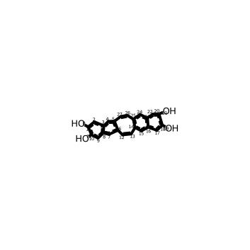 Oc1cc2cc3c(cc2cc1O)/C=C\c1cc2cc(O)c(O)cc2cc1/C=C\3